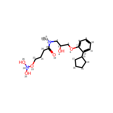 CC(C)(C)N(C[C@H](O)COc1ccccc1C1CCCC1)C(=O)CCCON(O)O